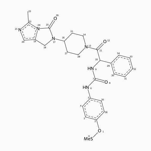 CSOc1ccc(NC(=O)NC(C(=O)N2CCC(N3Cc4cnc(C)n4C3=O)CC2)c2ccccc2)cc1